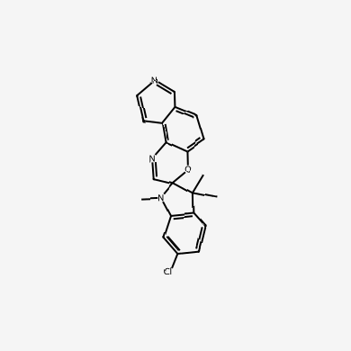 CN1c2cc(Cl)ccc2C(C)(C)C12C=Nc1c(ccc3cnccc13)O2